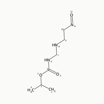 CC(C)OC(=O)NCNCCN=O